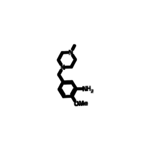 COc1ccc(CN2CCN(C)CC2)cc1N